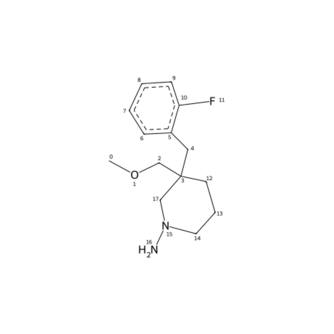 COCC1(Cc2ccccc2F)CCCN(N)C1